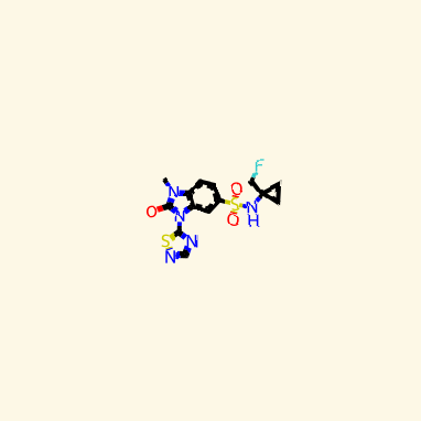 Cn1c(=O)n(-c2ncns2)c2cc(S(=O)(=O)NC3(CF)CC3)ccc21